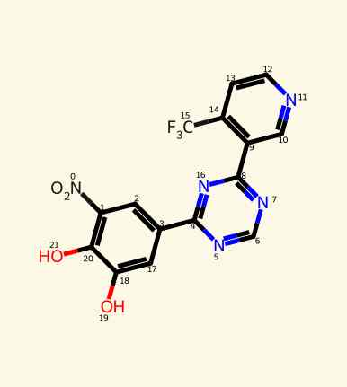 O=[N+]([O-])c1cc(-c2ncnc(-c3cnccc3C(F)(F)F)n2)cc(O)c1O